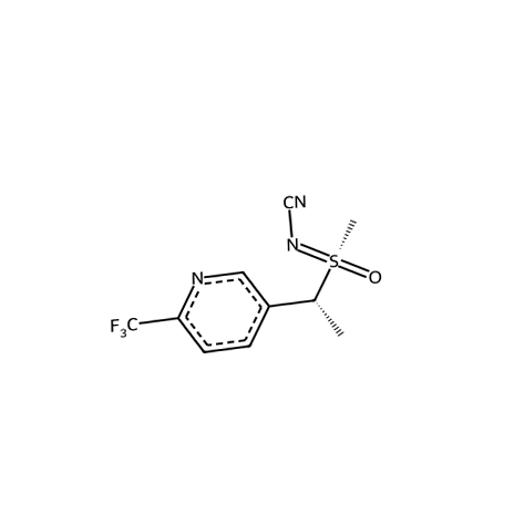 C[C@H](c1ccc(C(F)(F)F)nc1)[S@](C)(=O)=NC#N